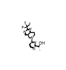 C[C@@H](O)c1nccc(N2CCc3nc(C(F)(F)F)ncc3C2)n1